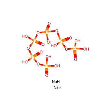 O=P(O)(O)OP(=O)(O)OP(=O)(O)OP(=O)(O)OP(=O)(O)OP(=O)(O)O.[NaH].[NaH]